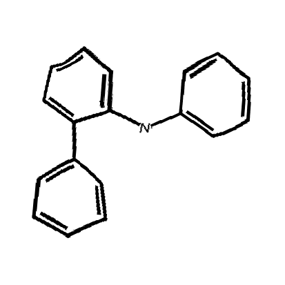 c1ccc([N]c2ccccc2-c2ccccc2)cc1